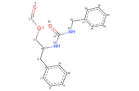 O=COCC(Cc1ccccc1)NC(=O)NCc1ccccc1